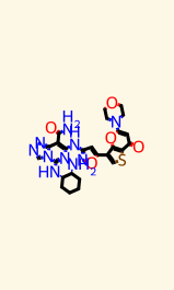 NC(=O)c1c(Nc2cc(-c3csc4c(=O)cc(N5CCOCC5)oc34)on2)nc(N[C@H]2CCCC[C@H]2N)n2cnnc12